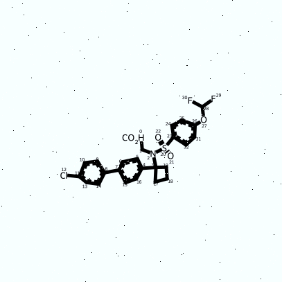 O=C(O)CN(C1(c2ccc(-c3ccc(Cl)cc3)cc2)CCC1)S(=O)(=O)c1ccc(OC(F)F)cc1